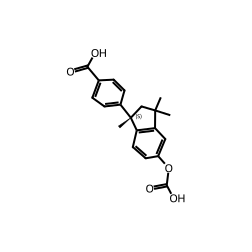 CC1(C)C[C@@](C)(c2ccc(C(=O)O)cc2)c2ccc(OC(=O)O)cc21